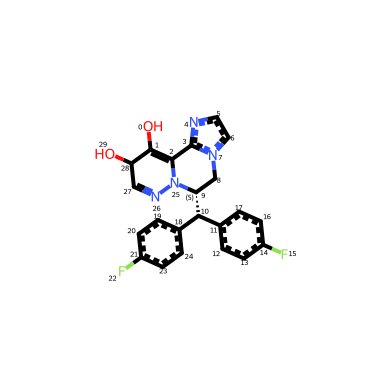 OC1=C2c3nccn3C[C@H](C(c3ccc(F)cc3)c3ccc(F)cc3)N2N=CC1O